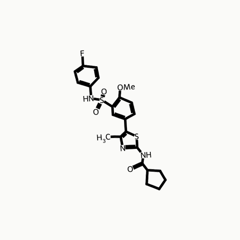 COc1ccc(-c2sc(NC(=O)C3CCCC3)nc2C)cc1S(=O)(=O)Nc1ccc(F)cc1